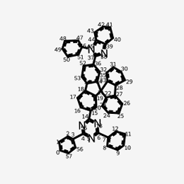 c1ccc(-c2nc(-c3ccccc3)nc(-c3ccc4c(c3)C3(c5ccccc5-c5ccccc53)c3cc(-c5nc6ccccc6n5-c5ccccc5)ccc3-4)n2)cc1